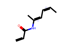 C=CC(=O)N/C(C)=C/C=C\C